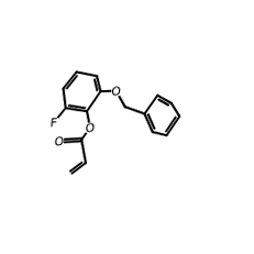 C=CC(=O)Oc1c(F)cccc1OCc1ccccc1